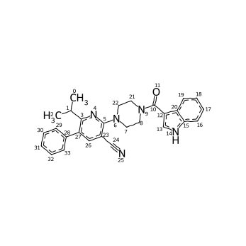 CC(C)c1nc(N2CCN(C(=O)c3c[nH]c4ccccc34)CC2)c(C#N)cc1-c1ccccc1